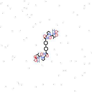 COC(=O)N[C@H](C(=O)N1CCCC1c1nc(C2CCC(C3CCC(c4coc(C5CCCN5C(=O)[C@@H](NC(=O)OC)C(C)C)n4)CC3)CC2)co1)C(C)C